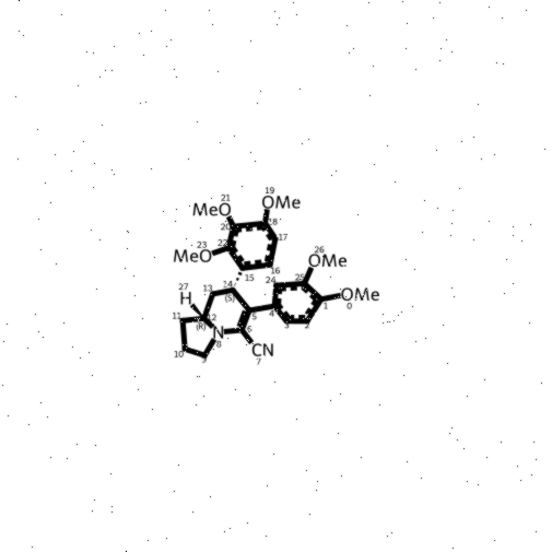 COc1ccc(C2=C(C#N)N3CCC[C@@H]3C[C@@H]2c2ccc(OC)c(OC)c2OC)cc1OC